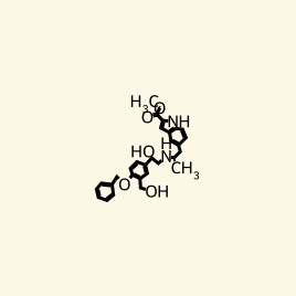 COC(=O)c1cc2cc(C[C@@H](C)NC[C@H](O)c3ccc(OCc4ccccc4)c(CO)c3)ccc2[nH]1